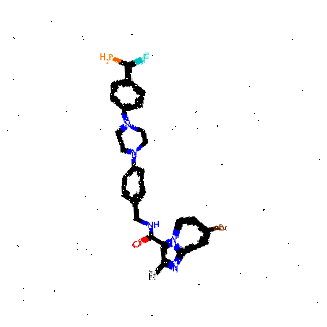 CCc1nc2cc(Br)ccn2c1C(=O)NCc1ccc(N2CCN(c3ccc(C(F)P)cc3)CC2)cc1